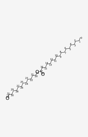 CCCCCCCCCCCCCCCCCC(=O)OCCCCCCCCCCC[C]=O